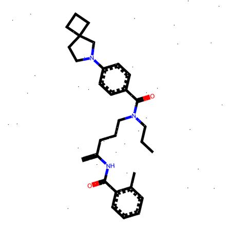 C=C(CCCN(CCC)C(=O)c1ccc(N2CCC3(CCC3)C2)cc1)NC(=O)c1ccccc1C